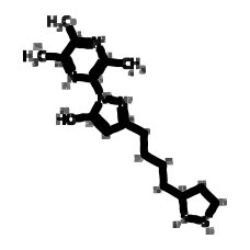 Cc1nc(C)c(-n2nc(CCCCC3CCSS3)cc2O)nc1C